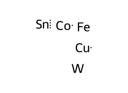 [Co].[Cu].[Fe].[Sn].[W]